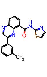 O=C(Nc1nccs1)c1cccc2ncc(-c3cccc(C(F)(F)F)c3)nc12